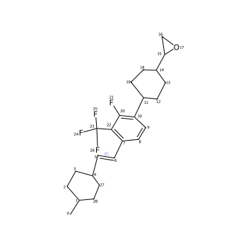 CC1CCC(/C=C/c2ccc(C3CCC(C4CO4)CC3)c(F)c2C(F)(F)F)CC1